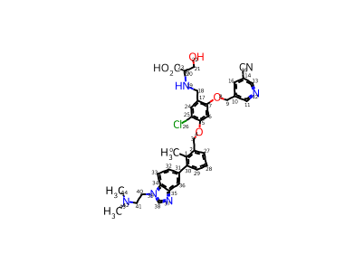 Cc1c(COc2cc(OCc3cncc(C#N)c3)c(CN[C@H](CO)C(=O)O)cc2Cl)cccc1-c1ccc2c(c1)ncn2CCN(C)C